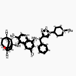 CC(C)(C)N1CCC(n2cc([C@@H](Nc3cc(Cl)cc4c(N[C@@]56CCC7C[C@H](C[C@H](C7)C5)C6)c(C#N)cnc34)c3ccccc3)nn2)CC1